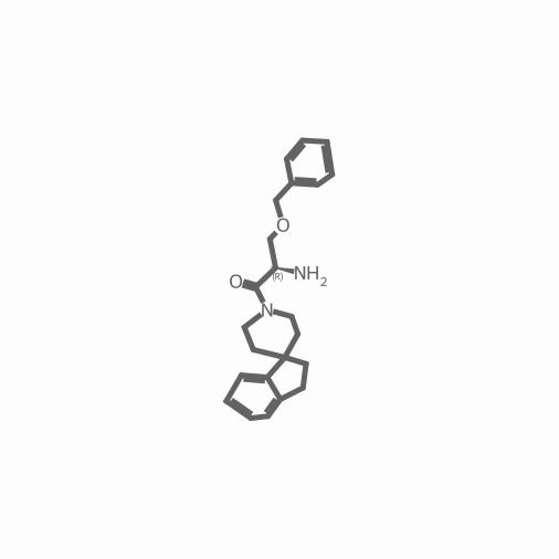 N[C@H](COCc1ccccc1)C(=O)N1CCC2(CCc3ccccc32)CC1